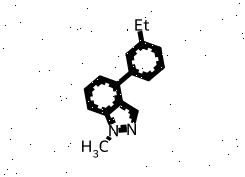 CCc1cccc(-c2cccc3c2cnn3C)c1